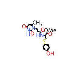 COC(=O)C(CSc1ccc(O)cc1)NC(=O)C=Cn1c(C)cc(=O)[nH]c1=O